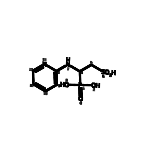 O=P(O)(O)C(CS(=O)(=O)O)Nc1ccccn1